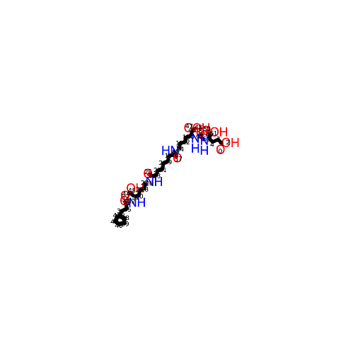 O=C(O)CCC(NC(=O)NC(CCCCNC(=O)CCCCCCC(=O)NCCCCC(NC(=O)CCc1ccccc1)C(=O)O)C(=O)O)C(=O)O